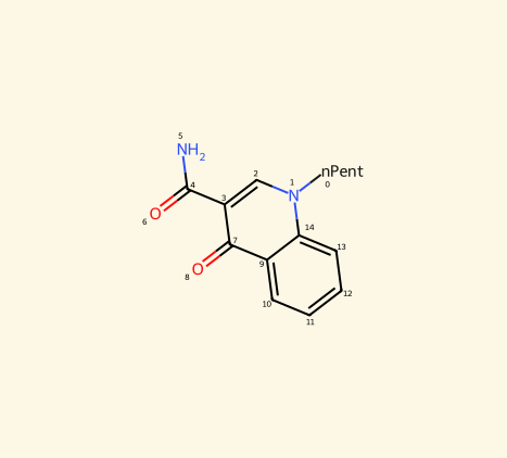 CCCCCn1cc(C(N)=O)c(=O)c2ccccc21